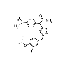 CC(C)c1ccc(C(C(N)=O)c2cnn(Cc3ccc(OC(F)F)c(F)c3)n2)cc1